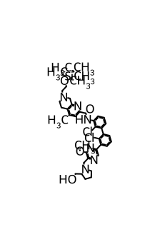 COc1nc(-c2cccc(-c3cccc(NC(=O)c4cc(C)c5c(n4)CN(CCO[Si](C)(C)C(C)(C)C)CC5)c3Cl)c2Cl)cnc1CN1CCCC1CO